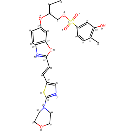 CCC(COS(=O)(=O)c1ccc(C)c(O)c1)Oc1ccc2nc(C=Cc3cnc(N4CCOCC4)s3)oc2c1